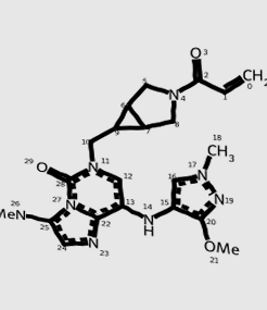 C=CC(=O)N1CC2C(C1)C2Cn1cc(Nc2cn(C)nc2OC)c2ncc(NC)n2c1=O